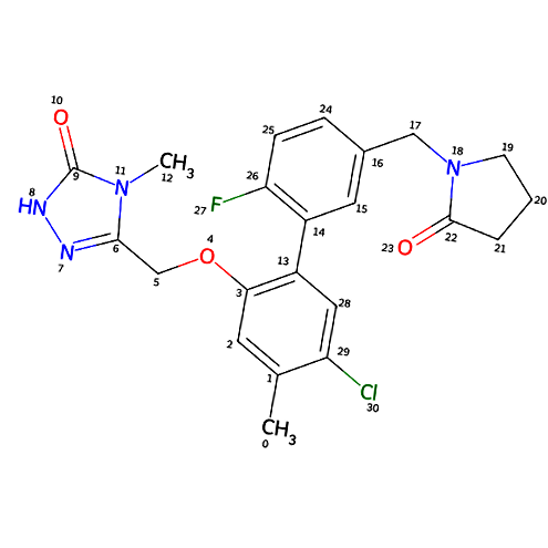 Cc1cc(OCc2n[nH]c(=O)n2C)c(-c2cc(CN3CCCC3=O)ccc2F)cc1Cl